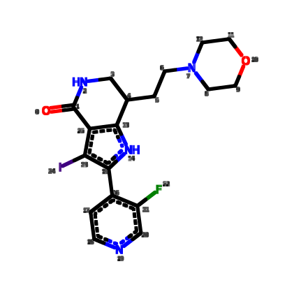 O=C1NCC(CCN2CCOCC2)c2[nH]c(-c3ccncc3F)c(I)c21